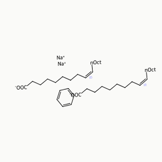 CCCCCCCC/C=C\CCCCCCCC(=O)[O-].CCCCCCCC/C=C\CCCCCCCC(=O)[O-].[Na+].[Na+].c1ccccc1